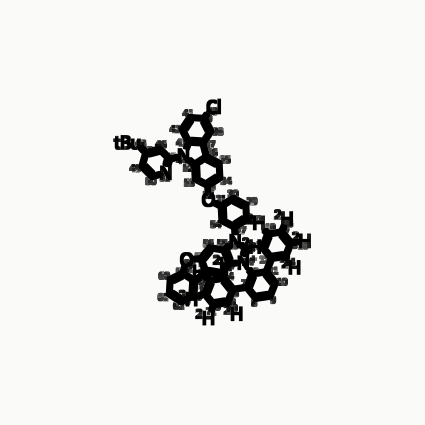 [2H]c1c([2H])c([2H])c(-c2cccc(-c3c([2H])c([2H])c([2H])c([2H])c3[2H])c2-[n+]2cn(-c3cccc(Oc4ccc5c6cc(Cl)ccc6n(-c6cc(C(C)(C)C)ccn6)c5c4)c3)c3cc4oc5ccccc5c4cc32)c([2H])c1[2H]